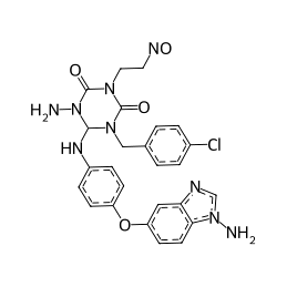 NN1C(=O)N(CCN=O)C(=O)N(Cc2ccc(Cl)cc2)C1Nc1ccc(Oc2ccc3c(c2)ncn3N)cc1